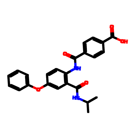 CC(C)NC(=O)c1cc(Oc2ccccc2)ccc1NC(=O)c1ccc(C(=O)O)cc1